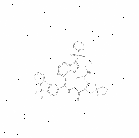 C[C@H](NC(=O)[C@@H]1CC2(CN1C(=O)CNC(=O)c1ccc3c(c1)-c1ccccc1C3(F)F)OCCO2)c1cc2cnccc2n1S(=O)(=O)c1ccccc1